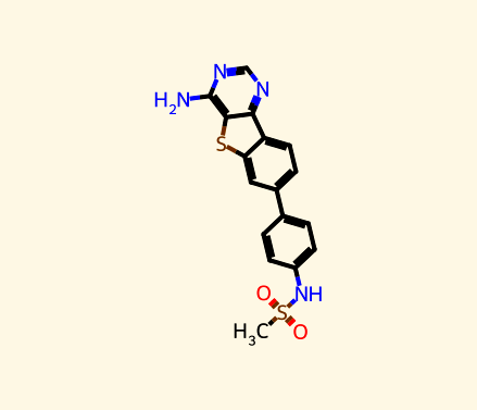 CS(=O)(=O)Nc1ccc(-c2ccc3c(c2)sc2c(N)ncnc23)cc1